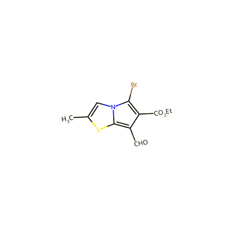 CCOC(=O)c1c(C=O)c2sc(C)cn2c1Br